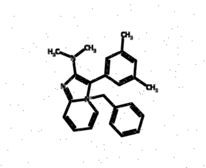 Cc1cc(C)cc(C2=C(N(C)C)N=C3C=CC=C[N+]32Cc2ccccc2)c1